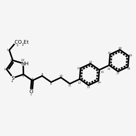 CCOC(=O)CC1=CSC(C(=O)CCCCc2ccc(-c3ccccc3)cc2)N1